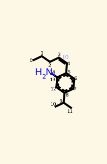 CCC/C=C\c1ccc(C(C)C)cc1N